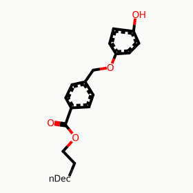 CCCCCCCCCCCCOC(=O)c1ccc(COc2ccc(O)cc2)cc1